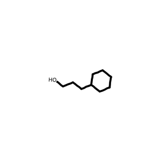 OCCCC1CCCCC1